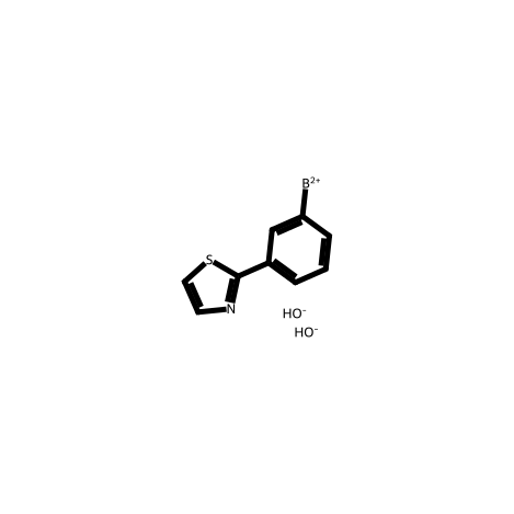 [B+2]c1cccc(-c2nccs2)c1.[OH-].[OH-]